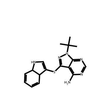 CC(C)(C)n1nc(SC2=CNC3C=CC=CC23)c2c(N)ncnc21